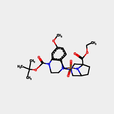 CCOC(=O)C12CCC(CN(Cc3ccc(OC)cc3)C1)N2S(=O)(=O)N1CCN(C(=O)OC(C)(C)C)CC1